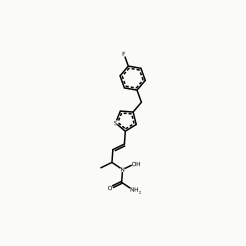 CC(C=Cc1cc(Cc2ccc(F)cc2)cs1)N(O)C(N)=O